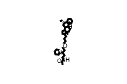 CC[C@H]1CC2C3CCC(CCCCOCCC(CCNC(C)=O)N4CCCCC4)C3(C)CC[C@@H]2C2(C)CCCCC12